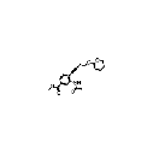 COC(=O)c1ccc(C#CCCOC2CCCCO2)c(NC(C)=O)c1